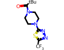 CC(C)(C)C(=O)N1CCN(c2nnc(C(F)(F)F)s2)CC1